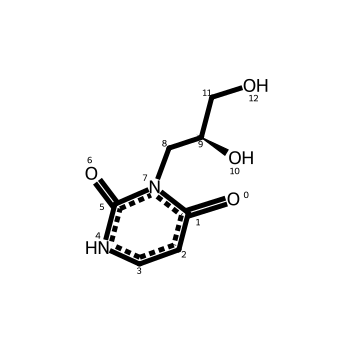 O=c1cc[nH]c(=O)n1C[C@H](O)CO